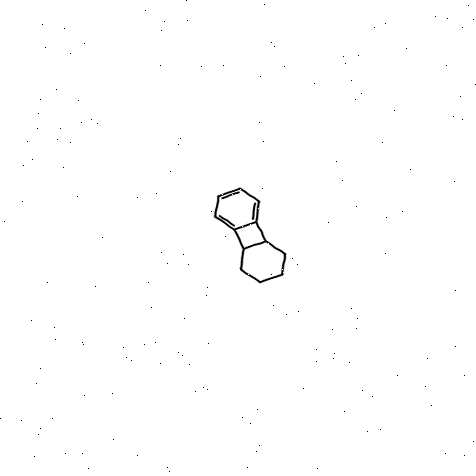 c1ccc2c(c1)C1CCCCC21